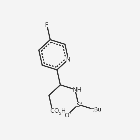 CC(C)(C)[S+]([O-])NC(CC(=O)O)c1ccc(F)cn1